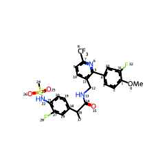 COc1ccc(-c2nc(C(F)(F)F)ccc2CNC(=O)C(C)c2ccc(NS(C)(=O)=O)c(F)c2)cc1F